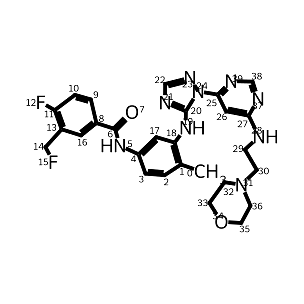 Cc1ccc(NC(=O)c2ccc(F)c(CF)c2)cc1Nc1ncnn1-c1cc(NCCN2CCOCC2)ncn1